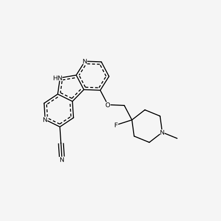 CN1CCC(F)(COc2ccnc3[nH]c4cnc(C#N)cc4c23)CC1